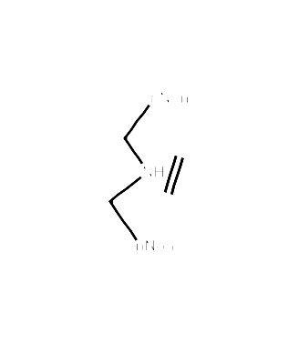 C=C.CCCCCCCCCCNCCCCCCCCCC